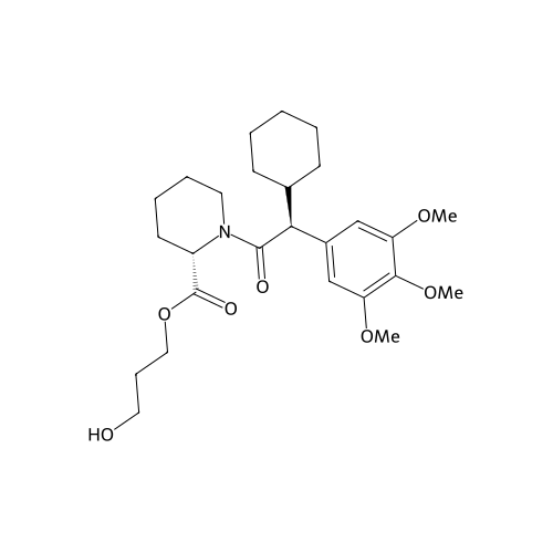 COc1cc([C@@H](C(=O)N2CCCC[C@H]2C(=O)OCCCO)C2CCCCC2)cc(OC)c1OC